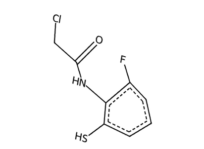 O=C(CCl)Nc1c(F)cccc1S